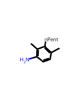 CCCCCc1c(C)ccc(N)c1C